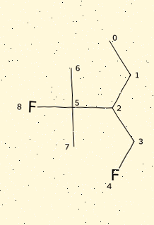 CCC(CF)C(C)(C)F